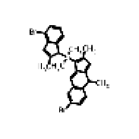 CC1=Cc2c(Br)cccc2C1[Si](C)(C)C1=C(C)C=C2C1=Cc1cc(Br)ccc1C2C